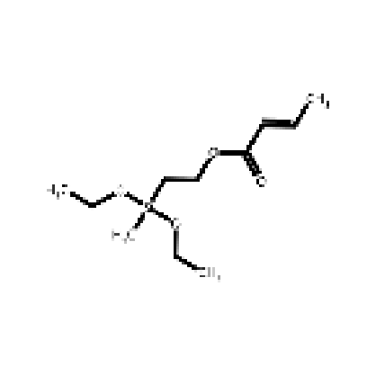 CC=CC(=O)OCC[Si](C)(OCC)OCC